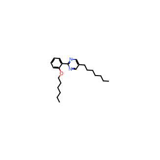 CCCCCCCc1cnc(-c2ccccc2OCCCCCC)nc1